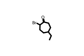 CCC1CCC(=O)C(Br)CC1